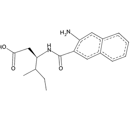 CCC(C)[C@@H](CC(=O)O)NC(=O)c1cc2ccccc2cc1N